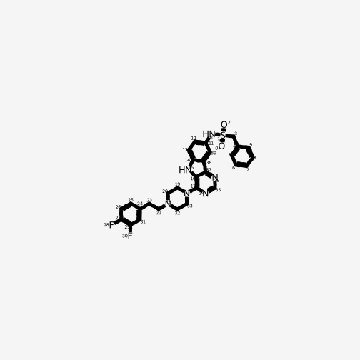 O=S(=O)(Cc1ccccc1)Nc1ccc2[nH]c3c(N4CCN(CCc5ccc(F)c(F)c5)CC4)ncnc3c2c1